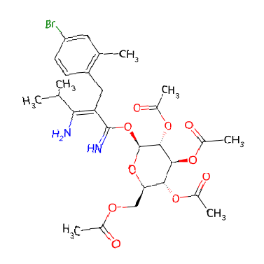 CC(=O)OC[C@H]1O[C@@H](OC(=N)/C(Cc2ccc(Br)cc2C)=C(\N)C(C)C)[C@H](OC(C)=O)[C@@H](OC(C)=O)[C@@H]1OC(C)=O